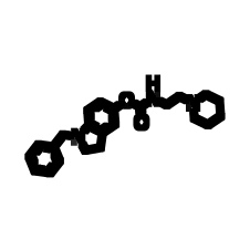 O=C(NCCN1CCCCC1)Oc1ccc2c(c1)CCN2Cc1ccccc1